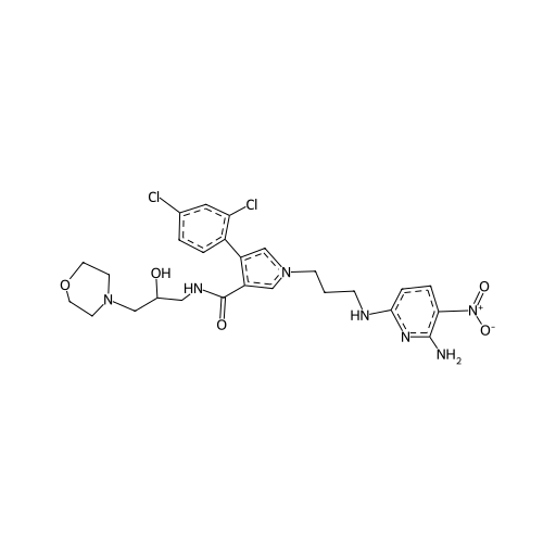 Nc1nc(NCCCn2cc(C(=O)NCC(O)CN3CCOCC3)c(-c3ccc(Cl)cc3Cl)c2)ccc1[N+](=O)[O-]